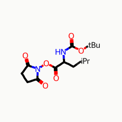 CC(C)CC(NC(=O)OC(C)(C)C)C(=O)ON1C(=O)CCC1=O